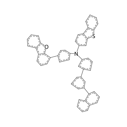 c1cc(-c2cccc(N(c3ccc(-c4cccc5c4oc4ccccc45)cc3)c3ccc4c(c3)sc3ccccc34)c2)cc(-c2cccc3ccccc23)c1